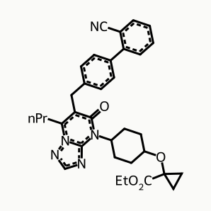 CCCc1c(Cc2ccc(-c3ccccc3C#N)cc2)c(=O)n(C2CCC(OC3(C(=O)OCC)CC3)CC2)c2ncnn12